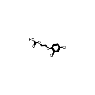 O=C(O)OCCOc1ccc(Cl)cc1Cl